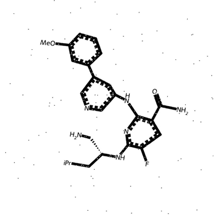 COc1cccc(-c2cncc(Nc3nc(N[C@@H](CN)CC(C)C)c(F)cc3C(N)=O)c2)c1